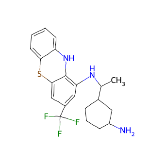 CC(Nc1cc(C(F)(F)F)cc2c1Nc1ccccc1S2)C1CCCC(N)C1